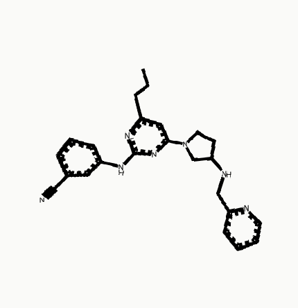 CCCc1cc(N2CCC(NCc3ccccn3)C2)nc(Nc2cccc(C#N)c2)n1